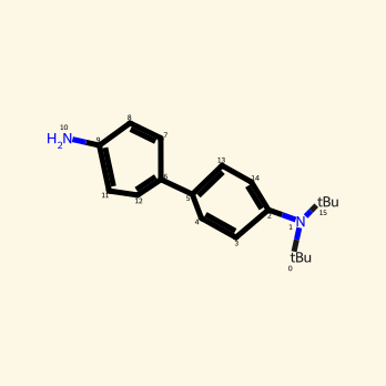 CC(C)(C)N(c1ccc(-c2ccc(N)cc2)cc1)C(C)(C)C